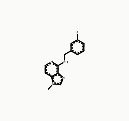 Cn1cnc2c(NCc3cccc(F)c3)nccc21